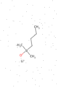 CCCC[Si](C)(C)[O-].[Li+]